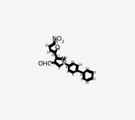 O=Cc1cn(-c2ccc(-c3ccccc3)cc2)nc1-c1ccc([N+](=O)[O-])o1